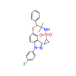 CC(C)(NS(=O)(=O)C1CC1)C(Sc1ccc2c(cnn2-c2ccc(F)cc2)c1)c1ccccc1